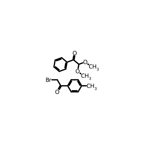 COC(OC)C(=O)c1ccccc1.Cc1ccc(C(=O)CBr)cc1